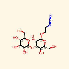 [N-]=[N+]=NCCO[C@H]1O[C@H](CO)[C@@H](O)[C@H](O[C@@H]2O[C@H](CO)[C@@H](O)[C@H](O)[C@@H]2O)[C@@H]1O